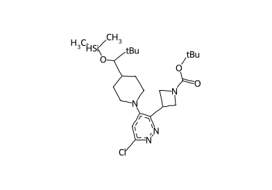 C[SiH](C)OC(C1CCN(c2cc(Cl)nnc2C2CN(C(=O)OC(C)(C)C)C2)CC1)C(C)(C)C